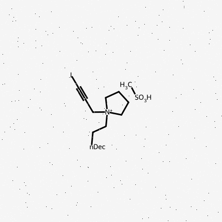 CCCCCCCCCCCC[N+]1(CC#CI)CCCC1.CS(=O)(=O)O